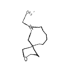 [CH2]CN1CCCC2(COC2)C1